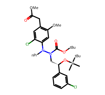 CCCN(c1cc(OC)c(CC(=O)OC)cc1Cl)N(C[C@H](O[Si](C)(C)C(C)(C)C)c1cccc(Cl)c1)C(=O)OC(C)(C)C